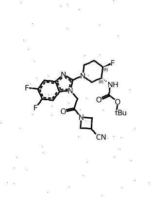 CC(C)(C)OC(=O)N[C@@H]1CN(c2nc3cc(F)c(F)cc3n2CC(=O)N2CC(C#N)C2)CC[C@H]1F